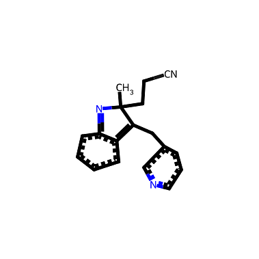 CC1(CCC#N)N=c2ccccc2=C1Cc1cccnc1